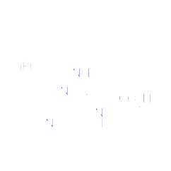 CC(C)c1cccc(Nc2nc3cnccc3c3[nH]c(C(=O)O)cc23)c1